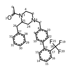 CC(=O)N1CCN(Cc2ccc(-c3ccccc3C(F)(F)F)cc2)CC1Cc1ccccc1